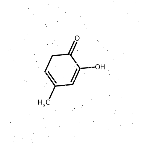 CC1=CCC(=O)C(O)=C1